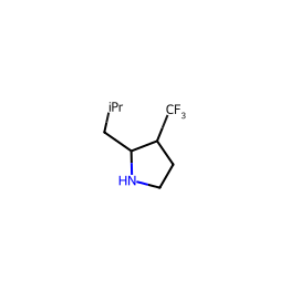 CC(C)CC1NCCC1C(F)(F)F